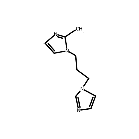 Cc1n[c]cn1CCCn1ccnc1